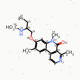 Cc1cc2c3ccnc(C)c3c(=O)n(C)c2cc1OCC(CC(C)C)NC(=O)O